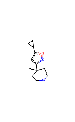 CC1(c2cc(C3CC3)on2)CCNCC1